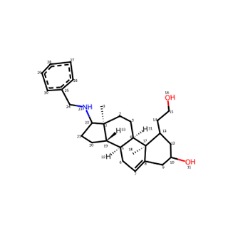 C[C@]12CC[C@@H]3[C@@H](CC=C4CC(O)CC(CCO)[C@@]43C)[C@@H]1CCC2NCc1ccccc1